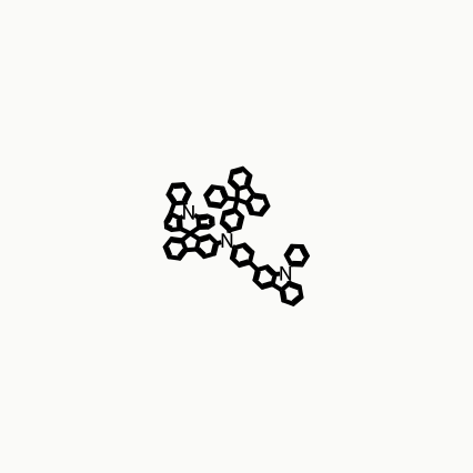 c1ccc(-n2c3ccccc3c3ccc(-c4ccc(N(c5ccc(C6(c7ccccc7)c7ccccc7-c7ccccc76)cc5)c5ccc6c(c5)C5(c7ccccc7-6)c6ccccc6-n6c7ccccc7c7cccc5c76)cc4)cc32)cc1